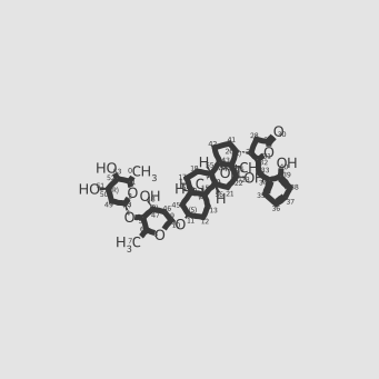 CC1O[C@H](OC2C(C)O[C@@H](O[C@H]3CC[C@@]4(C)[C@H](CC[C@@H]5[C@@H]4C[C@@H](O)[C@]4(C)[C@@H](C6CC(=O)OC6Cc6ccccc6O)CC[C@]54O)C3)C[C@H]2O)C[C@@H](O)C1O